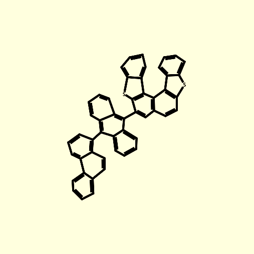 c1ccc2c(c1)ccc1c(-c3c4ccccc4c(-c4cc5ccc6sc7ccccc7c6c5c5c4sc4ccccc45)c4ccccc34)cccc12